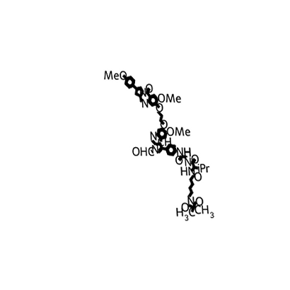 COc1ccc(C2=CN3C(=O)c4cc(OC)c(OCCCOc5cc(/N=C\C6CC(c7ccc(NC(=O)CNC(=O)C(NC(=O)CCCCCN8C(=O)C(C)(C)C8=O)C(C)C)cc7)=CN6C=O)c(C)cc5OC)cc4N=CC3C2)cc1